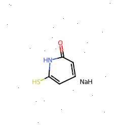 O=c1cccc(S)[nH]1.[NaH]